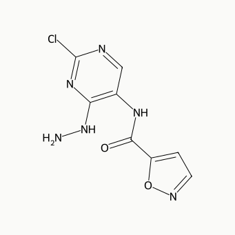 NNc1nc(Cl)ncc1NC(=O)c1ccno1